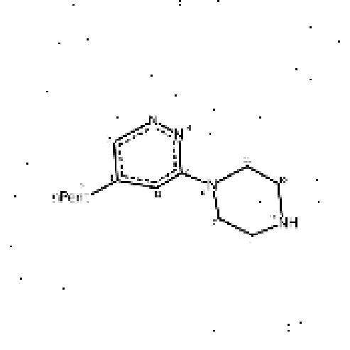 CCCCCc1cnnc(N2CCNCC2)c1